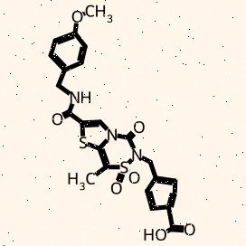 COc1ccc(CNC(=O)C2=CN3C(=O)N(Cc4ccc(C(=O)O)cc4)S(=O)(=O)C(C)=C3S2)cc1